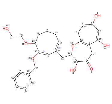 O=C1CC2=C(CC=C(O)C=C2O)OC(CC2=C/CCCC(OCCO)/C(OCc3ccccc3)=C\2)C1O